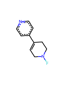 FN1CC=C(c2ccncc2)CC1